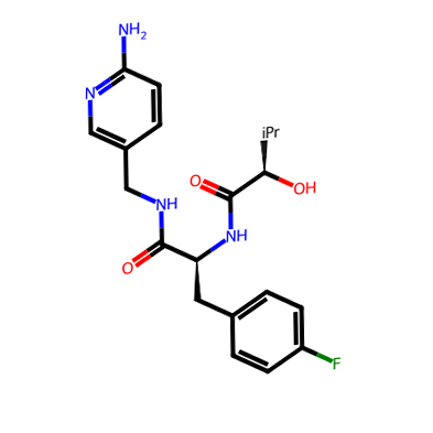 CC(C)[C@@H](O)C(=O)N[C@@H](Cc1ccc(F)cc1)C(=O)NCc1ccc(N)nc1